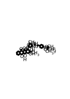 CC(=O)[C@]1(O)Cc2c(O)c3c(c(O)c2[C@@H](O[C@H]2C[C@H](NC(=S)OCc4ccc(B5OC(C)(C)C(C)(C)O5)cc4)[C@H](O)[C@H](C)O2)C1)C(=O)c1ccccc1C3=O